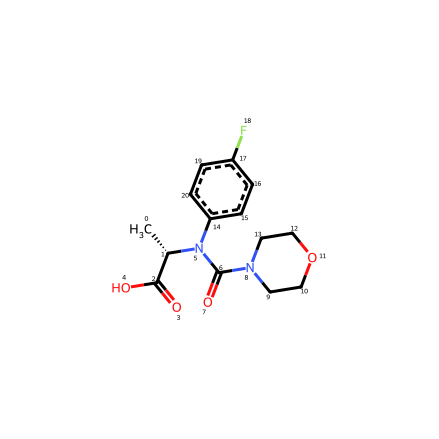 C[C@@H](C(=O)O)N(C(=O)N1CCOCC1)c1ccc(F)cc1